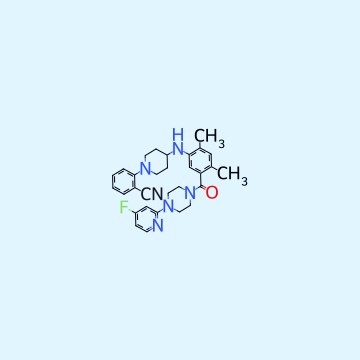 Cc1cc(C)c(C(=O)N2CCN(c3cc(F)ccn3)CC2)cc1NC1CCN(c2ccccc2C#N)CC1